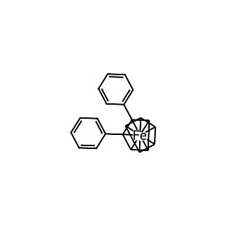 c1ccc([C]23[CH]4[CH]5[CH]6[C]2(c2ccccc2)[Fe]54632789[CH]3[CH]2[CH]7[CH]8[CH]39)cc1